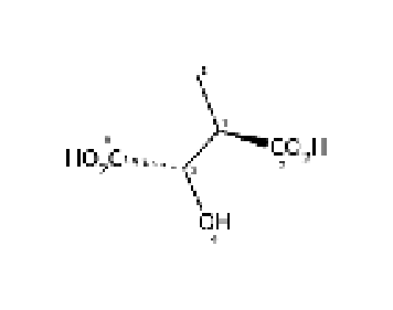 C[C@@H](C(=O)O)[C@H](O)C(=O)O